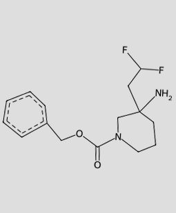 NC1(CC(F)F)CCCN(C(=O)OCc2ccccc2)C1